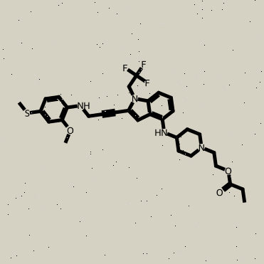 CCC(=O)OCCN1CCC(Nc2cccc3c2cc(C#CCNc2ccc(SC)cc2OC)n3CC(F)(F)F)CC1